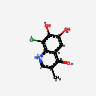 Cc1c[nH]c2c(Cl)c(O)c(O)cc2c1=O